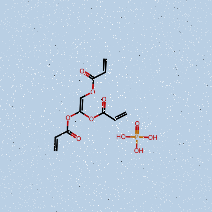 C=CC(=O)OC=C(OC(=O)C=C)OC(=O)C=C.O=P(O)(O)O